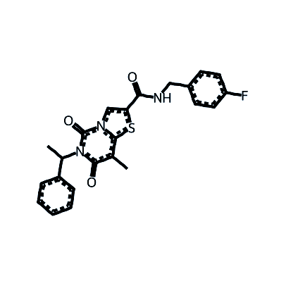 Cc1c(=O)n(C(C)c2ccccc2)c(=O)n2cc(C(=O)NCc3ccc(F)cc3)sc12